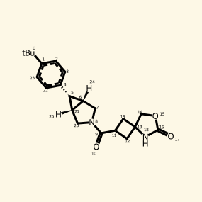 CC(C)(C)c1ccc([C@@H]2[C@@H]3CN(C(=O)C4CC5(COC(=O)N5)C4)C[C@@H]32)cc1